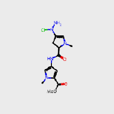 COC(=O)c1cc(NC(=O)C2CC(N(N)Cl)=CN2C)cn1C